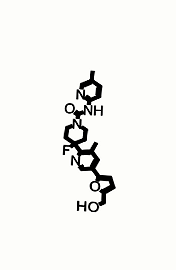 Cc1ccc(NC(=O)N2CCC(F)(c3ncc(-c4ccc(CO)o4)cc3C)CC2)nc1